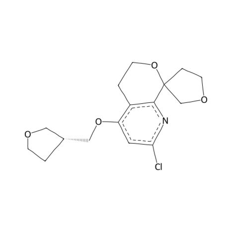 Clc1cc(OC[C@@H]2CCOC2)c2c(n1)C1(CCOC1)OCC2